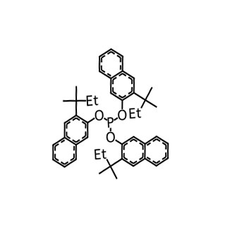 CCC(C)(C)c1cc2ccccc2cc1OP(Oc1cc2ccccc2cc1C(C)(C)CC)Oc1cc2ccccc2cc1C(C)(C)CC